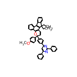 CCC1(CC)c2ccccc2-c2c1c1c(c3ccccc23)OC(c2ccc(OC)cc2)(c2ccc(-c3cc(-c4ccccc4)nc(-c4ccccc4)n3)cc2)C=C1